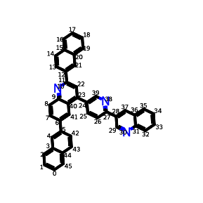 c1ccc2cc(-c3ccc4nc(-c5ccc6ccccc6c5)cc(-c5ccc(-c6cnc7ccccc7c6)nc5)c4c3)ccc2c1